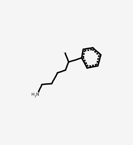 [CH2]C(CCCCN)c1ccccc1